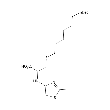 CCCCCCCCCCCCCCCCSCC(NC1CSC(C)=N1)C(=O)O